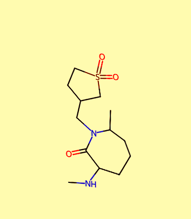 CNC1CCCC(C)N(CC2CCS(=O)(=O)C2)C1=O